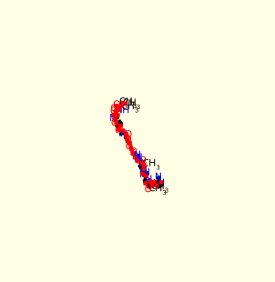 C[C@@H]1CN(c2ncc(-c3ccc4c(n3)N(Cc3cccnc3C#N)C(C)(C)C4=O)cn2)CCN1C(=O)Cn1cc(COCCOCCOCC(=O)N2CC(Oc3cccc(Oc4ccc(C(=O)N[C@@H](CCC(C)(C)C)C(=O)O)cn4)c3)C2)nn1